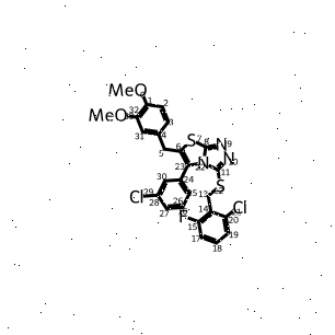 COc1ccc(Cc2sc3nnc(SCc4c(F)cccc4Cl)n3c2-c2cccc(Cl)c2)cc1OC